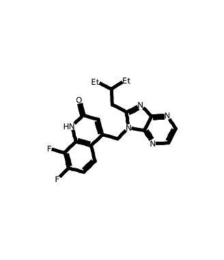 CCC(CC)Cc1nc2nccnc2n1Cc1cc(=O)[nH]c2c(F)c(F)ccc12